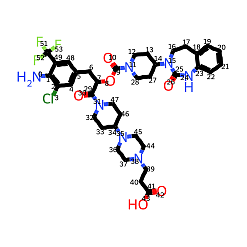 Nc1c(Cl)cc(CC(OC(=O)N2CCC(N3CCc4ccccc4NC3=O)CC2)C(=O)N2CCC(N3CCN(CCC(=O)O)CC3)CC2)cc1C(F)(F)F